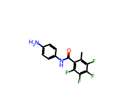 Cc1c(F)c(F)c(F)c(F)c1C(=O)Nc1ccc(N)cc1